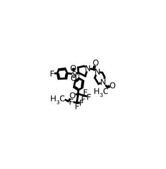 CCOC(c1ccc([C@]2(S(=O)(=O)c3ccc(F)cc3)CCN(C(=O)N3CCN(C(C)=O)CC3)C2)cc1)(C(F)(F)F)C(F)(F)F